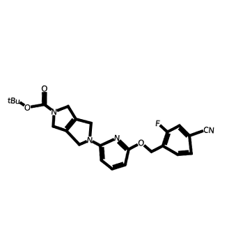 CC(C)(C)OC(=O)N1CC2=C(C1)CN(c1cccc(OCc3ccc(C#N)cc3F)n1)C2